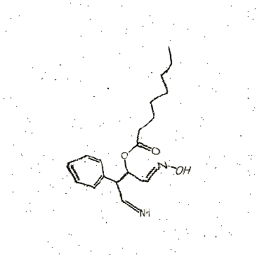 CCCCCCCC(=O)OC(C=NO)C(C=N)c1ccccc1